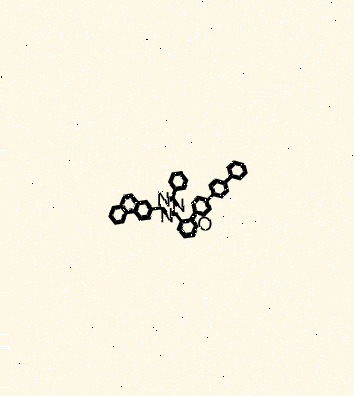 c1ccc(-c2ccc(-c3ccc4c(c3)oc3cccc(-c5nc(-c6ccccc6)nc(-c6ccc7c(ccc8ccccc87)c6)n5)c34)cc2)cc1